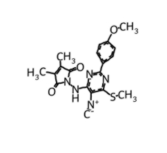 [C-]#[N+]c1c(NN2C(=O)C(C)=C(C)C2=O)nc(-c2ccc(OC)cc2)nc1SC